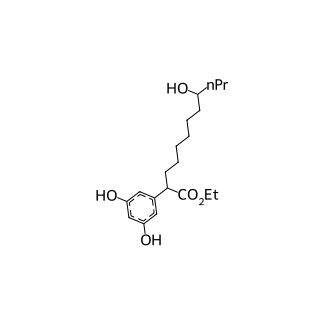 CCCC(O)CCCCCCC(C(=O)OCC)c1cc(O)cc(O)c1